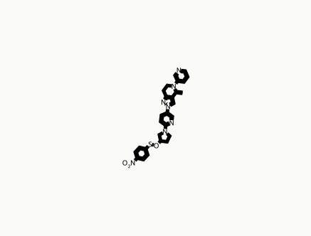 C=C1c2cn(-c3ccc(N4CCC(OSc5ccc([N+](=O)[O-])cc5)C4)nc3)nc2CCN1c1cccnc1